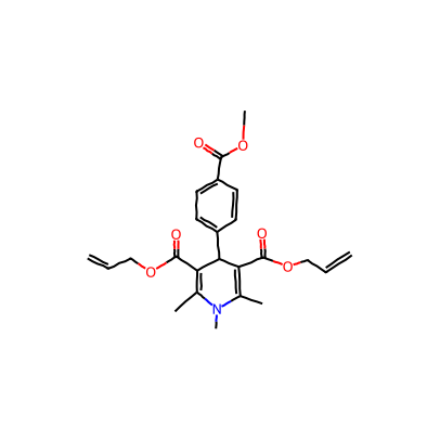 C=CCOC(=O)C1=C(C)N(C)C(C)=C(C(=O)OCC=C)C1c1ccc(C(=O)OC)cc1